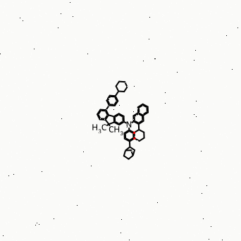 CC1(C)c2cc(N(c3ccc(C4CC5CCC4C5)cc3)c3cc4ccccc4cc3C3CCCCC3)ccc2-c2c(-c3ccc(C4CCCCC4)cc3)cccc21